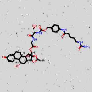 CCCC1O[C@@H]2CC3[C@@H]4CCC5=CC(=O)C=C[C@]5(C)C4[C@@H](O)C[C@]3(C)[C@]2(C(=O)COC(=O)CNC(=O)[C@H](CO)NC(=O)OCc2ccc(NC(=O)CCCCNC(N)=O)cc2)O1